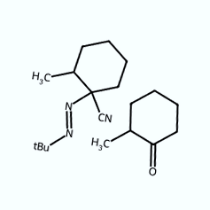 CC1CCCCC1(C#N)N=NC(C)(C)C.CC1CCCCC1=O